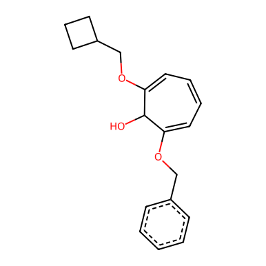 OC1C(OCc2ccccc2)=CC=CC=C1OCC1CCC1